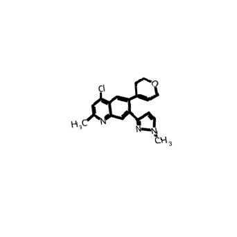 Cc1cc(Cl)c2cc(C3=CCOCC3)c(-c3ccn(C)n3)cc2n1